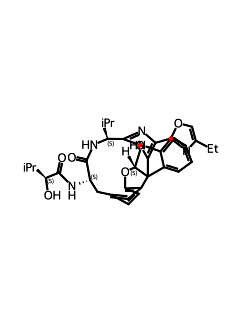 CCc1coc(-c2nc3oc2C24c5ccccc5N[C@H]2Oc2ccc(cc24)C[C@H](NC(=O)[C@@H](O)C(C)C)C(=O)N[C@H]3C(C)C)n1